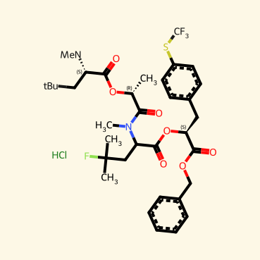 CN[C@@H](CC(C)(C)C)C(=O)O[C@H](C)C(=O)N(C)C(CC(C)(C)F)C(=O)O[C@@H](Cc1ccc(SC(F)(F)F)cc1)C(=O)OCc1ccccc1.Cl